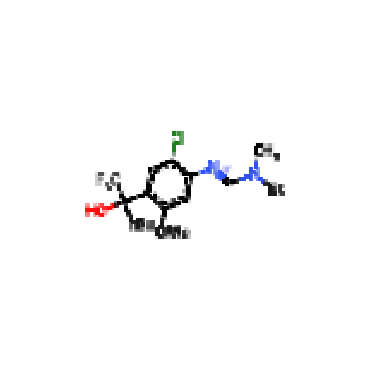 CCCCC(O)(c1cc(Cl)c(/N=C/N(C)CC)cc1OC)C(F)(F)F